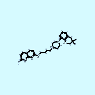 CC1(C)COc2c(cccc2N2CCN(CCCCOc3ccc4ccc(=O)[nH]c4n3)CC2)C1